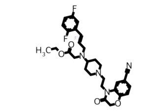 CCOC(=O)CN(C/C=C/c1cc(F)ccc1F)C1CCN(CCN2C(=O)COc3ccc(C#N)cc32)CC1